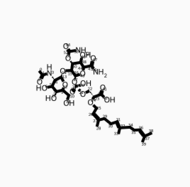 CC(=O)N[C@H]1C(O)[C@H](O)C(CO)O[C@H]1OC1[C@H](OP(=O)(O)OC[C@@H](OC/C=C(/C)CC/C=C(\C)CCC=C(C)C)C(=O)O)OC(C(N)=O)C(O)[C@@H]1OC(N)=O